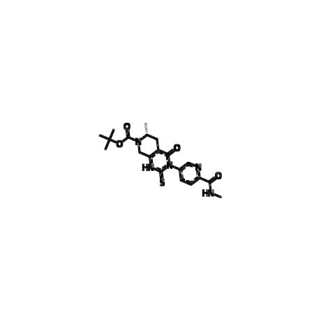 CNC(=O)c1ccc(-n2c(=S)[nH]c3c(c2=O)C[C@@H](C)N(C(=O)OC(C)(C)C)C3)cn1